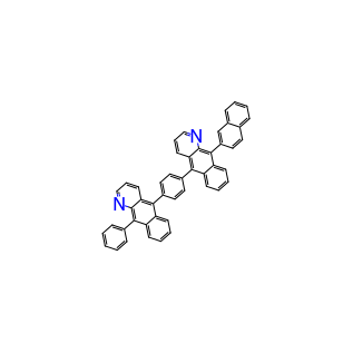 c1ccc(-c2c3ccccc3c(-c3ccc(-c4c5ccccc5c(-c5ccc6ccccc6c5)c5ncccc45)cc3)c3cccnc23)cc1